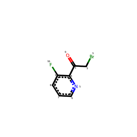 O=C(CBr)c1ncccc1F